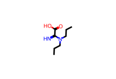 CCCN(CCC)C(=N)C(=O)O